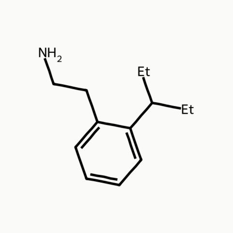 CCC(CC)c1ccccc1CCN